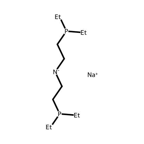 CCP(CC)CC[N-]CCP(CC)CC.[Na+]